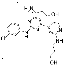 NCCCO.OCCCNc1cc(-c2ccnc(Nc3cccc(Cl)c3)n2)ccn1